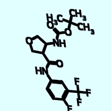 CC(C)(C)OC(=O)NC1COCC1C(=O)Nc1ccc(F)c(C(F)(F)F)c1